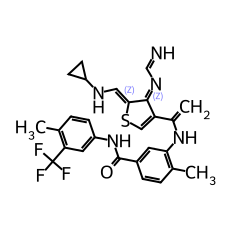 C=C(Nc1cc(C(=O)Nc2ccc(C)c(C(F)(F)F)c2)ccc1C)C1=CSC(=C\NC2CC2)/C1=N\C=N